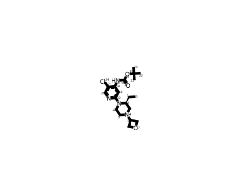 CC[C@H]1CN(C2COC2)CCN1c1cc(NC(=O)OC(C)(C)C)c(Cl)cn1